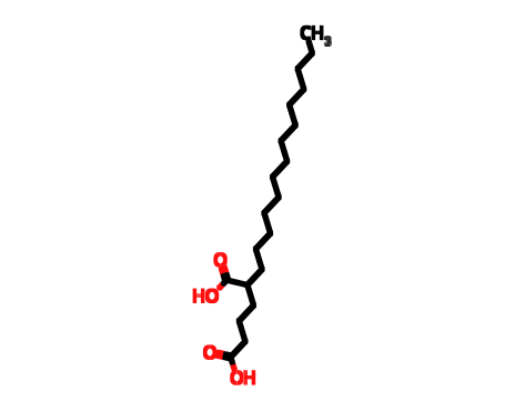 CCCCCCCCCCCCCCC(CCCC(=O)O)C(=O)O